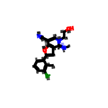 C/N=c1/c2cc(-c3cccc(Br)c3C)oc2c(C#N)cn1CCO